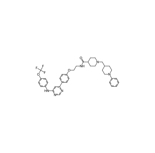 O=C(NCCOc1ccc(-c2cc(Nc3ccc(OC(F)(F)F)cc3)ncn2)cc1)C1CCN(CC2CCN(c3ccccc3)CC2)CC1